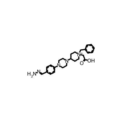 NN=Cc1ccc(N2CCN(C3CC[N+](CC(=O)O)(Cc4ccccc4)CC3)CC2)cc1